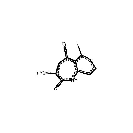 O=c1[nH]c2cccc(I)c2c(=O)cc1O